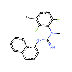 CCc1ccc(F)c(N(C)C(=N)Nc2cccc3ccccc23)c1F